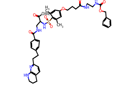 COC(=O)C(CNC(=O)c1ccc(CCc2ccc3c(n2)NCCC3)cc1)NS(=O)(=O)c1c(C)cc(OCCCC(=O)NCCNC(=O)OCc2ccccc2)cc1C